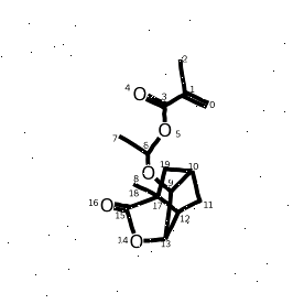 C=C(C)C(=O)OC(C)OC1C2CC3C1OC(=O)C3(C)C2